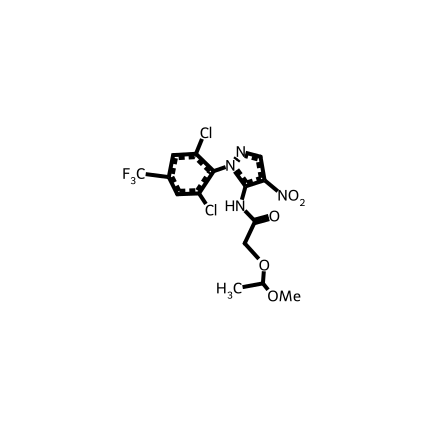 COC(C)OCC(=O)Nc1c([N+](=O)[O-])cnn1-c1c(Cl)cc(C(F)(F)F)cc1Cl